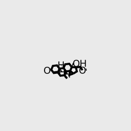 COCC1(O)CC2CC23[C@@H]2C(C)CC4=CC(=O)CC[C@@H]4[C@H]2CC[C@]13C